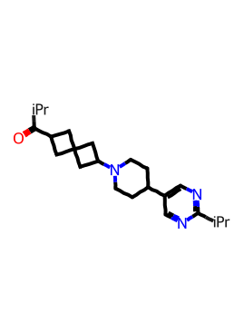 CC(C)C(=O)C1CC2(C1)CC(N1CCC(c3cnc(C(C)C)nc3)CC1)C2